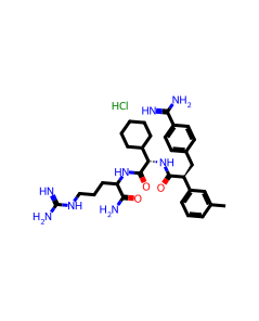 Cc1cccc([C@H](Cc2ccc(C(=N)N)cc2)C(=O)N[C@H](C(=O)NC(CCCNC(=N)N)C(N)=O)C2CCCCC2)c1.Cl